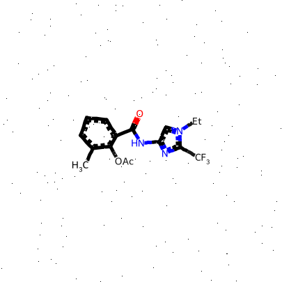 CCn1cc(NC(=O)c2cccc(C)c2OC(C)=O)nc1C(F)(F)F